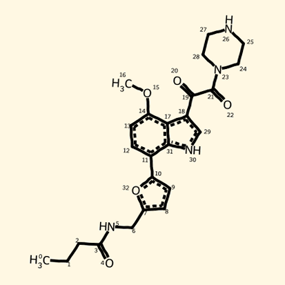 CCCC(=O)NCc1ccc(-c2ccc(OC)c3c(C(=O)C(=O)N4CCNCC4)c[nH]c23)o1